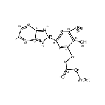 CCCCCCCCOC(=O)CCc1cc(-n2nc3ccccc3n2)cc(C(C)(C)C)c1O